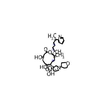 C/C(=C\C=C\[C@H](C)c1ccccn1)[C@H]1OC(=O)C[C@@H](O)CC[C@](C)(O)[C@H](C2CN(C3CCOCC3)CCN2C(=O)O)/C=C/[C@@H]1C